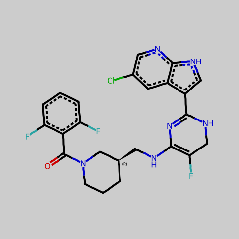 O=C(c1c(F)cccc1F)N1CCC[C@H](CNC2=C(F)CNC(c3c[nH]c4ncc(Cl)cc34)=N2)C1